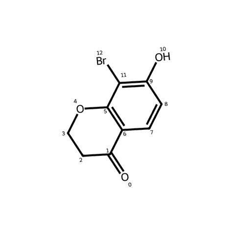 O=C1CCOc2c1ccc(O)c2Br